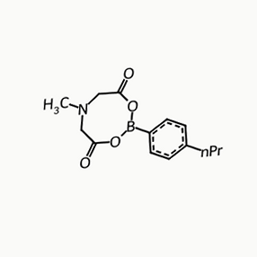 CCCc1ccc(B2OC(=O)CN(C)CC(=O)O2)cc1